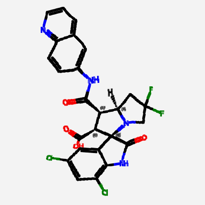 O=C(Nc1ccc2ncccc2c1)[C@H]1[C@H]2CC(F)(F)CN2[C@]2(C(=O)Nc3c(Cl)cc(Cl)cc32)[C@H]1C(=O)O